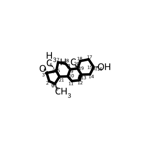 C[C@@H]1CC(=O)[C@@]2(C)CCC3C(CC=C4C[C@@H](O)CC[C@@]43C)C12